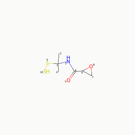 CC(C)(NC(=O)C1CO1)SS